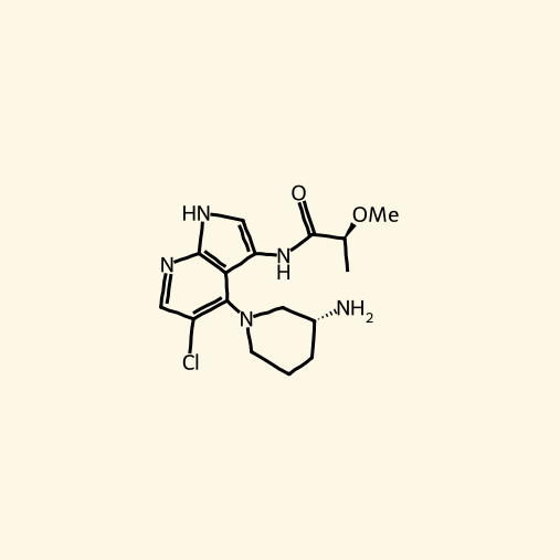 CO[C@@H](C)C(=O)Nc1c[nH]c2ncc(Cl)c(N3CCC[C@@H](N)C3)c12